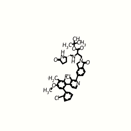 [CH2]c1c(OC)cc(-c2ccccc2Cl)c(-c2ccnc(-c3ccc4c(c3)CN(CC(NC[C@@H]3CCC(=O)N3)C(=O)OC(C)(C)C)C4=O)c2Cl)c1F